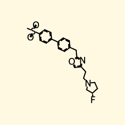 CS(=O)(=O)c1ccc(-c2ccc(Cc3nc(CCN4CC[C@@H](F)C4)co3)cc2)cc1